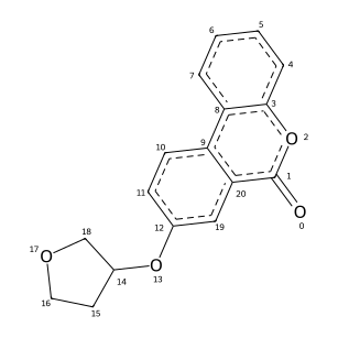 O=c1oc2ccccc2c2ccc(OC3CCOC3)cc12